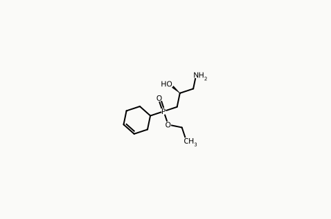 CCOP(=O)(C[C@@H](O)CN)C1CC=CCC1